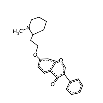 CN1CCCCC1CCOc1ccc2c(=O)c(-c3ccccc3)coc2c1